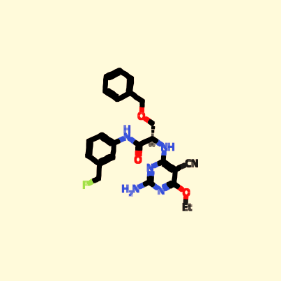 CCOc1nc(N)nc(N[C@@H](COCc2ccccc2)C(=O)Nc2cccc(CF)c2)c1C#N